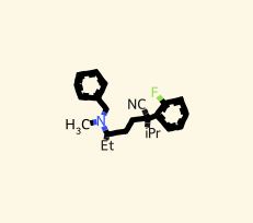 CCC(CCC(C#N)(c1ccccc1F)C(C)C)N(C)Cc1ccccc1